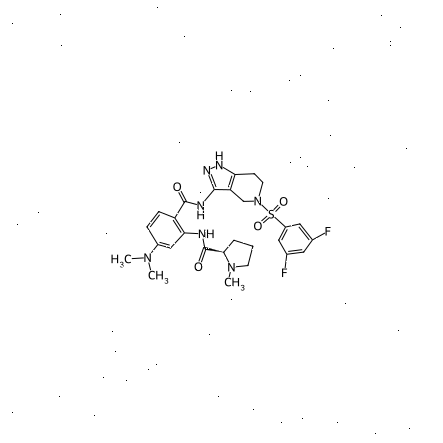 CN(C)c1ccc(C(=O)Nc2n[nH]c3c2CN(S(=O)(=O)c2cc(F)cc(F)c2)CC3)c(NC(=O)[C@H]2CCCN2C)c1